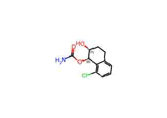 NC(=O)O[C@@H]1c2c(Cl)cccc2CC[C@@H]1O